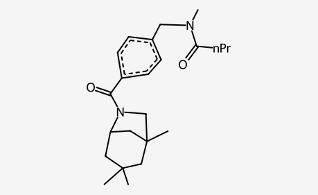 CCCC(=O)N(C)Cc1ccc(C(=O)N2CC3(C)CC2CC(C)(C)C3)cc1